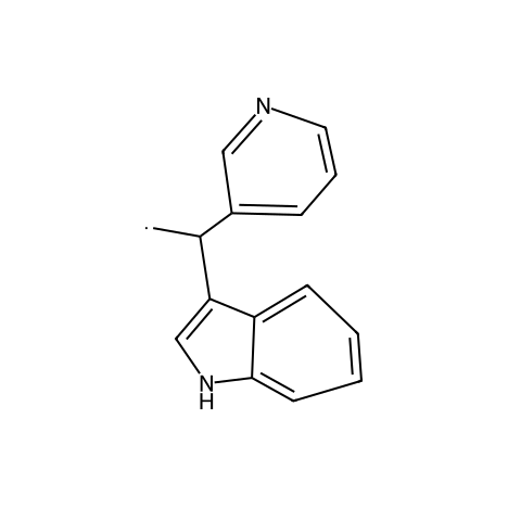 [CH2]C(c1cccnc1)c1c[nH]c2ccccc12